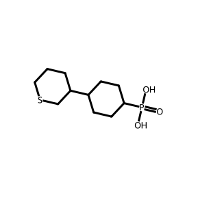 O=P(O)(O)C1CCC(C2CCCSC2)CC1